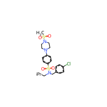 CC(C)CN(Cc1ccc(Cl)cc1)S(=O)(=O)c1ccc(N2CCN(S(C)(=O)=O)CC2)cc1